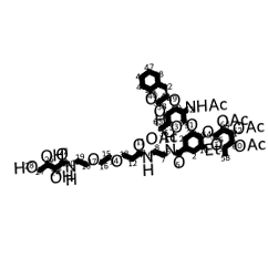 CCC1CC(C(=O)NCCNC(=O)CCOCCOCCNC(=O)[C@@H](O)[C@H](O)CO)C[C@@H](O[C@@H]2OC(COC(C)=O)[C@@H]3OC(=O)[C@@H](CC4CCCCC4)OC3C2NC(C)=O)C1O[C@@H]1OC(C)[C@@H](OC(C)=O)C(OC(C)=O)C1OC(C)=O